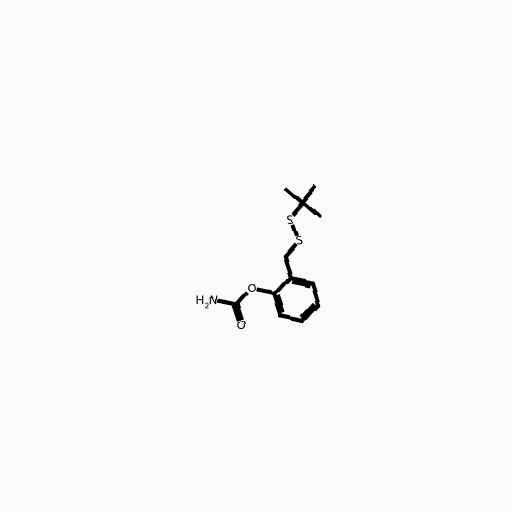 CC(C)(C)SSCc1ccccc1OC(N)=O